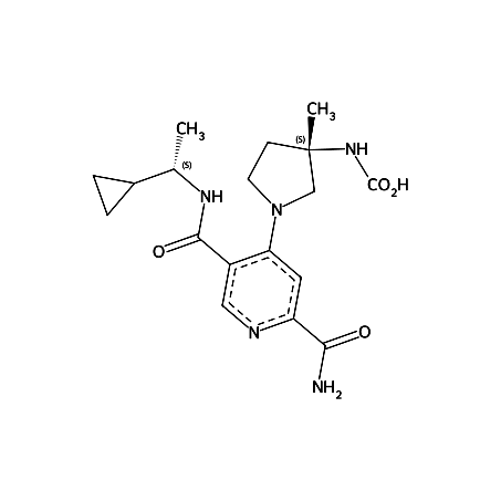 C[C@H](NC(=O)c1cnc(C(N)=O)cc1N1CC[C@](C)(NC(=O)O)C1)C1CC1